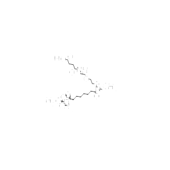 CCN(OCCOCCNC(=O)CCC(=O)O)C(=O)CCCCCCC(=O)OC(C)(C)C